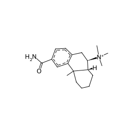 CC12CCCC[C@H]1[C@H]([N+](C)(C)C)Cc1ccc(C(N)=O)cc12